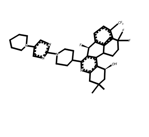 CC1(C)Cc2nc(C3CCN(c4ncc(N5CCCCC5)cn4)CC3)c([C@@H](F)c3ccc(C(F)(F)F)cc3)c(C3CCC(F)(F)CC3)c2[C@@H](O)C1